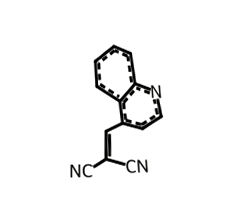 N#CC(C#N)=Cc1ccnc2ccccc12